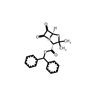 CC1(C)S[C@@H]2C(=O)C(=O)N2[C@H]1C(=O)OC(c1ccccc1)c1ccccc1